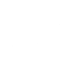 CCC(CCCBr)CCc1ccc(N(c2ccc(C)cc2)c2ccc(C)cc2)cc1